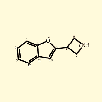 c1ccc2oc(C3CNC3)cc2c1